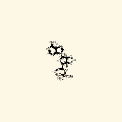 CC(C)(C)[Si](C)(C)OC(=C=O)[C@H]1O[C@@H](n2cnc3c(N)ncnc32)[C@@H]2OSO[C@@H]21